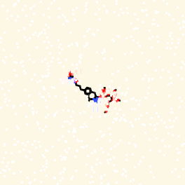 CC(=O)OC[C@H]1O[C@@H](Oc2n[nH]c(C(C)C)c2Cc2ccc(CCCC(=O)NC(C)(C)C(=O)O)cc2)[C@H](OC(C)=O)[C@@H](OC(C)=O)[C@@H]1OC(C)=O